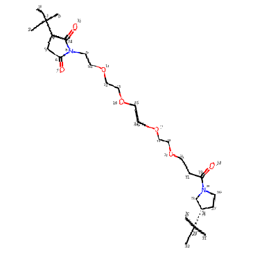 CC(C)(C)C1CC(=O)N(CCOCCOCCOCCOCCC(=O)N2CC[C@H](C(C)(C)C)C2)C1=O